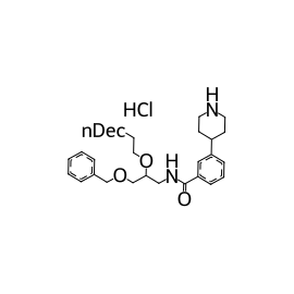 CCCCCCCCCCCCOC(CNC(=O)c1cccc(C2CCNCC2)c1)COCc1ccccc1.Cl